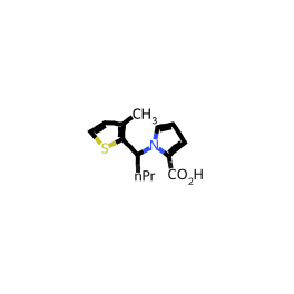 CCCC(c1sccc1C)n1cccc1C(=O)O